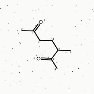 CC(=O)CCC(C)C(C)=O